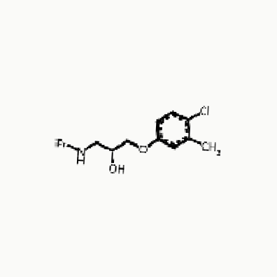 Cc1cc(OC[C@@H](O)CNC(C)C)ccc1Cl